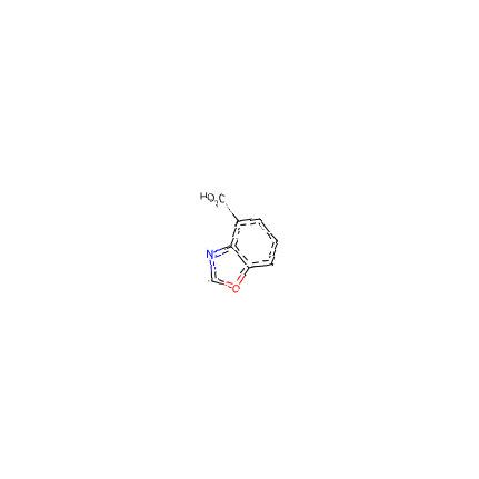 O=C(O)c1cccc2o[c]nc12